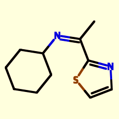 CC(=NC1CCCCC1)c1nccs1